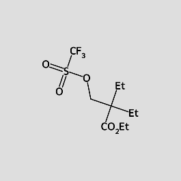 CCOC(=O)C(CC)(CC)COS(=O)(=O)C(F)(F)F